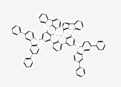 c1ccc(-c2ccc3c(c2)c2cc(-c4ccccc4)ccc2n3-c2cc3c4c(c2)-n2c5ccccc5c5cccc(c52)B4N2B4c5c(cc(-n6c7ccc(-c8ccccc8)cc7c7cc(-c8ccccc8)ccc76)cc5-n5c6ccccc6c6cccc4c65)-c4cccc-3c42)cc1